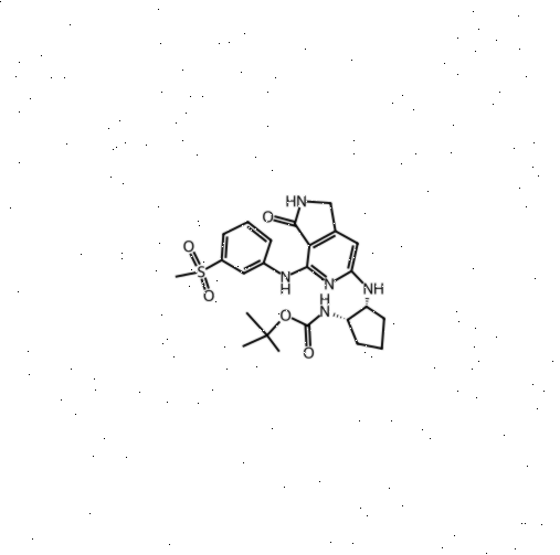 CC(C)(C)OC(=O)N[C@H]1CCC[C@H]1Nc1cc2c(c(Nc3cccc(S(C)(=O)=O)c3)n1)C(=O)NC2